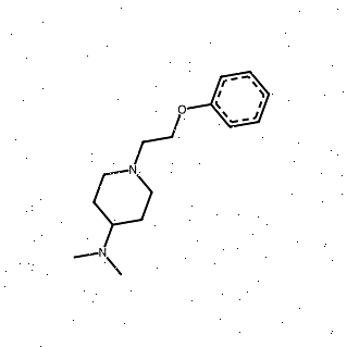 CN(C)C1CCN(CCOc2cc[c]cc2)CC1